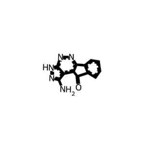 Nc1n[nH]c2nnc3c(c12)C(=O)c1ccccc1-3